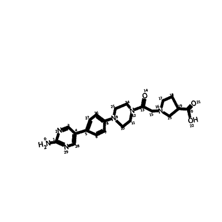 Nc1ncc(-c2ccc(N3CCN(C(=O)CN4CCC(C(=O)O)C4)CC3)cc2)cn1